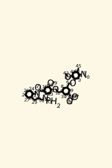 C=Nc1cc(OCc2cc(COc3cc4c(cc3OC)C(=O)N3c5ccccc5CC3CN4P)cc([N+](=O)[O-])c2)c(OC)cc1C